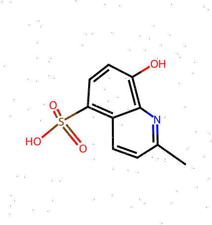 Cc1ccc2c(S(=O)(=O)O)ccc(O)c2n1